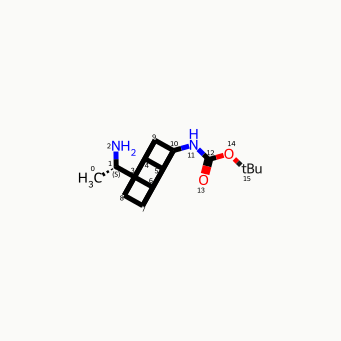 C[C@H](N)C12C3C4C1C1C2C3C41NC(=O)OC(C)(C)C